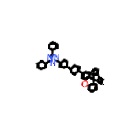 c1ccc(-c2nc(-c3ccccc3)nc(-c3ccc(-c4ccc(-c5ccc6c(c5)Oc5ccccc5C65c6ccccc6-c6ccccc65)cc4)cc3)n2)cc1